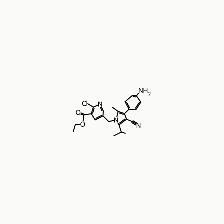 CCOC(=O)c1cc(Cn2c(C)c(-c3ccc(N)cc3)c(C#N)c2C(C)C)cnc1Cl